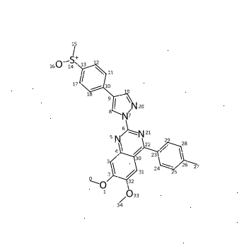 COc1cc2nc(-n3cc(-c4ccc([S+](C)[O-])cc4)cn3)nc(-c3ccc(C)cc3)c2cc1OC